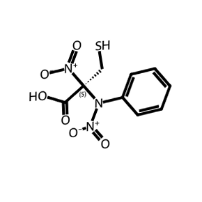 O=C(O)[C@](CS)(N(c1ccccc1)[N+](=O)[O-])[N+](=O)[O-]